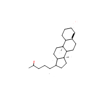 CC(C)C(O)CC[C@@H](C)C1CC[C@H]2[C@@H]3CCC4=C[C@@H](O)CC[C@]4(C)[C@H]3CC[C@]12C